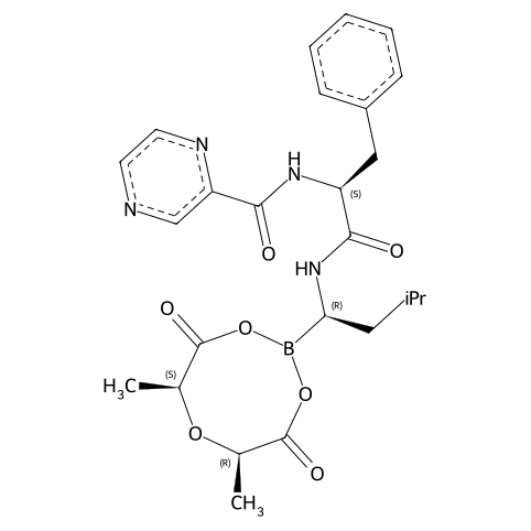 CC(C)C[C@H](NC(=O)[C@H](Cc1ccccc1)NC(=O)c1cnccn1)B1OC(=O)[C@H](C)O[C@H](C)C(=O)O1